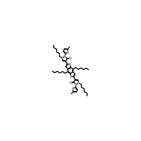 CCCCCCc1c2cc(-c3cn(CCCCCC)n(-c4ccc(C)s4)c3=O)sc2c(CCCCCC)c2cc(-c3cn(CCCCCC)n(-c4ccc(C)s4)c3=O)sc12